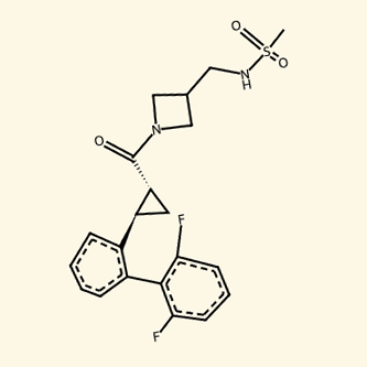 CS(=O)(=O)NCC1CN(C(=O)[C@@H]2C[C@H]2c2ccccc2-c2c(F)cccc2F)C1